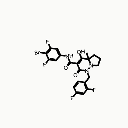 CC12CCCN1N(Cc1ccc(F)cc1F)C(=O)C(C(=O)Nc1cc(F)c(Br)c(F)c1)=C2O